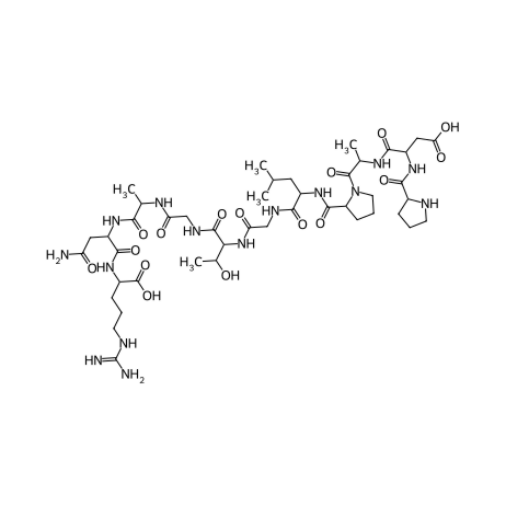 CC(C)CC(NC(=O)C1CCCN1C(=O)C(C)NC(=O)C(CC(=O)O)NC(=O)C1CCCN1)C(=O)NCC(=O)NC(C(=O)NCC(=O)NC(C)C(=O)NC(CC(N)=O)C(=O)NC(CCCNC(=N)N)C(=O)O)C(C)O